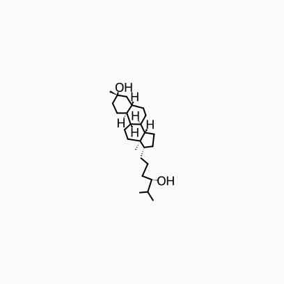 CC(C)[C@@H](O)CCC[C@H]1CC[C@H]2[C@@H]3CC[C@H]4C[C@@](C)(O)CC[C@@H]4[C@H]3CC[C@]12C